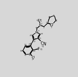 CCN(CC1CCCO1)Cn1cc(C#N)c(-c2cccc(Cl)c2F)c1